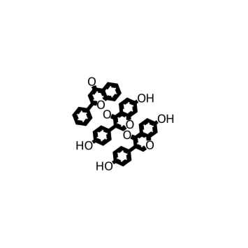 O=c1c(-c2ccc(O)cc2)coc2cc(O)ccc12.O=c1c(-c2ccc(O)cc2)coc2cc(O)ccc12.O=c1cc(-c2ccccc2)oc2ccccc12